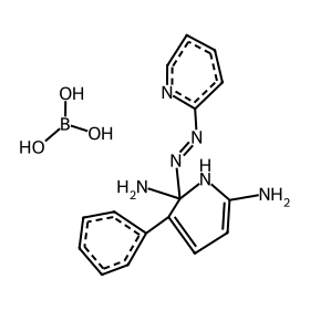 NC1=CC=C(c2ccccc2)C(N)(N=Nc2ccccn2)N1.OB(O)O